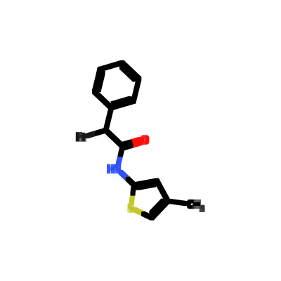 CCC(C(=O)Nc1cc(C)cs1)c1ccccc1